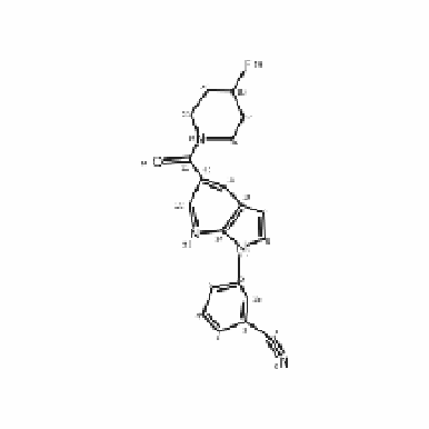 N#Cc1cccc(-n2ccc3cc(C(=O)N4CCC(F)CC4)cnc32)c1